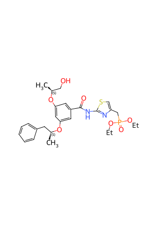 CCOP(=O)(Cc1csc(NC(=O)c2cc(O[C@@H](C)CO)cc(O[C@@H](C)Cc3ccccc3)c2)n1)OCC